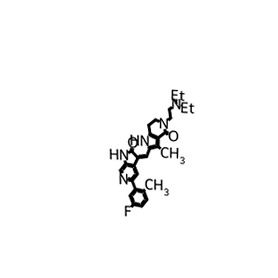 CCN(CC)CCN1CCc2[nH]c(C=C3C(=O)Nc4cnc(-c5cc(F)ccc5C)cc43)c(C)c2C1=O